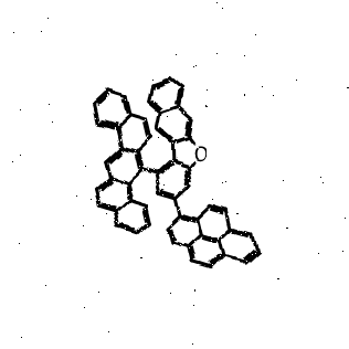 c1ccc2cc3c(cc2c1)oc1cc(-c2ccc4ccc5cccc6ccc2c4c56)cc(-c2c4ccc5ccccc5c4cc4ccc5ccccc5c24)c13